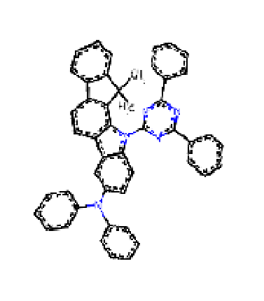 CC1(C)c2ccccc2-c2ccc3c4cc(N(c5ccccc5)c5ccccc5)ccc4n(-c4nc(-c5ccccc5)nc(-c5ccccc5)n4)c3c21